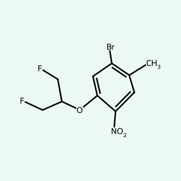 Cc1cc([N+](=O)[O-])c(OC(CF)CF)cc1Br